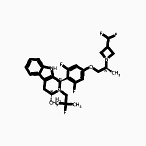 C[C@@H]1Cc2c([nH]c3ccccc23)[C@@H](c2c(F)cc(OC[C@H](C)N3CC(C(F)F)C3)cc2F)N1CC(C)(C)F